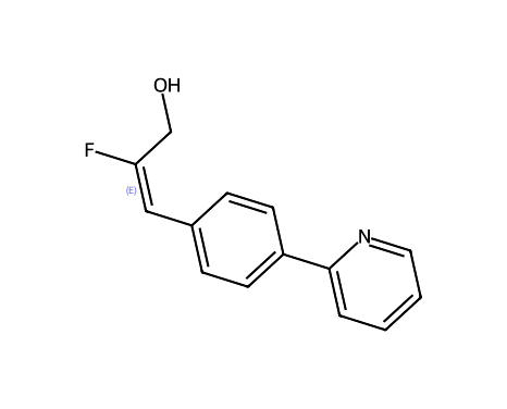 OC/C(F)=C\c1ccc(-c2ccccn2)cc1